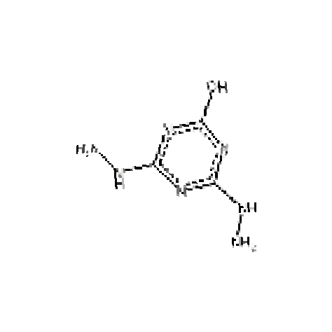 NNc1nc(O)nc(NN)n1